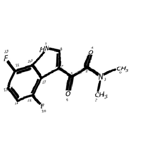 CN(C)C(=O)C(=O)c1c[nH]c2c(F)ccc(F)c12